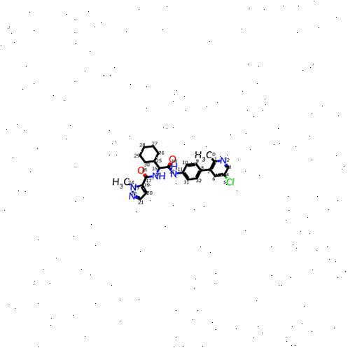 Cc1ncc(Cl)cc1-c1ccc(NC(=O)C(NC(=O)c2ccnn2C)C2CCCCC2)cc1